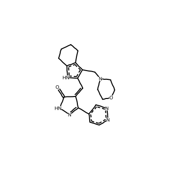 O=C1NN=C(c2ccnnc2)C1=Cc1[nH]c2c(c1CN1CCOCC1)CCCC2